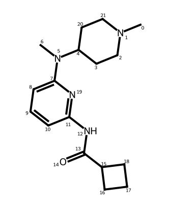 CN1CCC(N(C)c2cccc(NC(=O)C3CCC3)n2)CC1